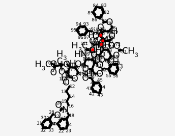 COC(=O)[C@@]1(C)O[C@@H]2[C@H](O1)[C@@H](OCCCCCN(Cc1ccccc1)C(=O)OCc1ccccc1)O[C@@H](COCc1ccccc1)[C@@H]2O[C@H]1O[C@@H]2CO[C@H](c3ccccc3)O[C@@H]2[C@H](O[C@@H]2O[C@@H](C)[C@@H](OC(C)=O)[C@@H](O[C@@H]3O[C@@H]4CO[C@@H](c5ccccc5)O[C@H]4[C@H](OCc4ccccc4)[C@@H]3NC(C)=O)[C@@H]2NC(C)=O)[C@H]1NC(C)=O